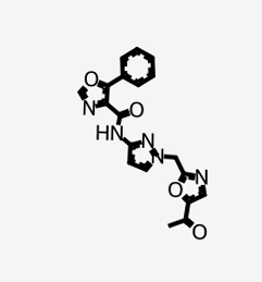 CC(=O)c1cnc(Cn2ccc(NC(=O)c3ncoc3-c3ccccc3)n2)o1